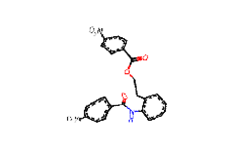 O=C(Nc1ccccc1CCOC(=O)c1ccc([N+](=O)[O-])cc1)c1ccc([N+](=O)[O-])cc1